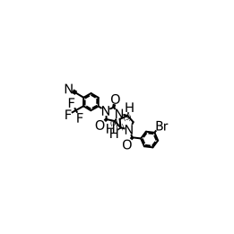 N#Cc1ccc(N2C(=O)[C@@H]3[C@@H]4C[C@@H](CN4C(=O)c4cccc(Br)c4)N3C2=O)cc1C(F)(F)F